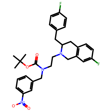 CC(C)(C)OC(=O)N(CCN1Cc2cc(F)ccc2CC1Cc1ccc(F)cc1)Cc1cccc([N+](=O)[O-])c1